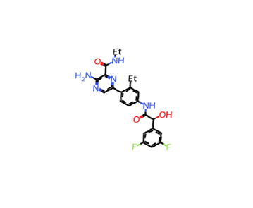 CCNC(=O)c1nc(-c2ccc(NC(=O)[C@@H](O)c3cc(F)cc(F)c3)cc2CC)cnc1N